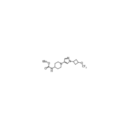 CC(C)(C)OC(=O)NC1CCN(c2cnn(C3CC(OC(F)(F)F)C3)c2)CC1